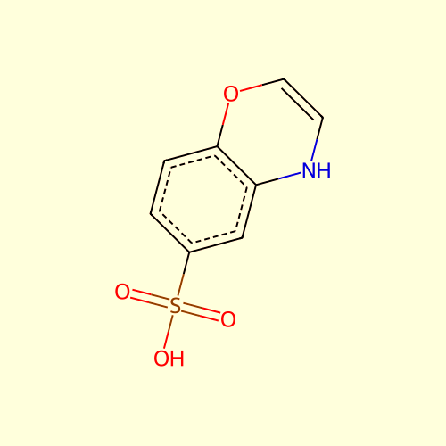 O=S(=O)(O)c1ccc2c(c1)NC=CO2